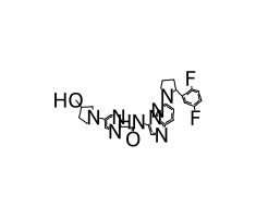 O=C(Nc1cnc2ccc(N3CCCC3c3cc(F)ccc3F)nn12)c1ncc(N2CCC(O)C2)cn1